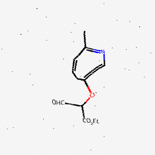 CCOC(=O)C(C=O)Oc1ccc(C)nc1